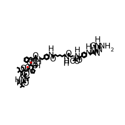 CCC(C)C(C(CC(=O)N1CCCC1C(OC)C(C)C(=O)N[C@@H](Cc1ccccc1)C(=O)NCCc1ccc(NC(=O)CCCCCNC(=O)CC[C@H](NC(=O)c2ccc(NCc3cnc4nc(N)[nH]c(=O)c4n3)cc2)C(=O)O)cc1)OC)N(C)C(=O)[C@@H](NC(=O)C(C(C)C)N(C)C)C(C)C